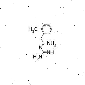 Cc1ccccc1C/C(N)=N/C(=N)N